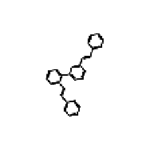 [c]1c(/C=C/c2ccccc2)cccc1-c1ccccc1/C=C/c1ccccc1